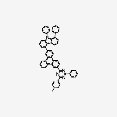 CC1C=CC(c2nc(-c3ccccc3)nc(-c3ccc4c5ccc(-c6cccc7c6c6cccc(-c8ccccc8)c6n7-c6ccccc6)cc5c5ccccc5c4c3)n2)=CC1